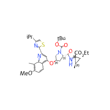 CCOC(=O)[C@@]1(NC(=O)[C@@H]2C[C@@H](Oc3cc(-c4nc(C(C)C)cs4)nc4c(C)c(OC)ccc34)CN2C(=O)OC(C)(C)C)C[C@H]1C